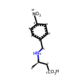 C[C@H](CC(=O)O)NCc1ccc([N+](=O)[O-])cc1